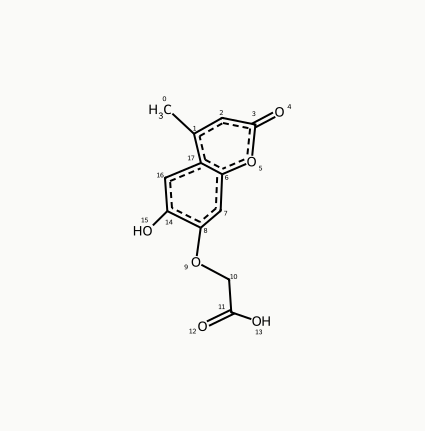 Cc1cc(=O)oc2cc(OCC(=O)O)c(O)cc12